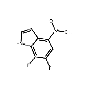 C[S+]([O-])c1cc(F)c(F)c2[nH]ccc12